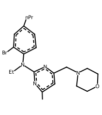 CCCc1ccc(N(CC)c2nc(C)cc(CN3CCOCC3)n2)c(Br)c1